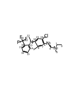 CCN(C)C=Nc1cc(C)c(N(C)c2ccccc2C(F)(F)F)cc1Cl